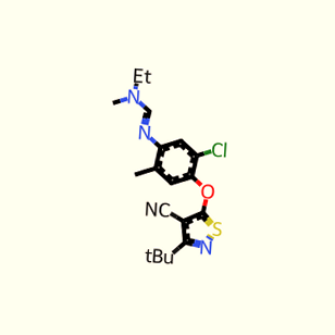 CCN(C)C=Nc1cc(Cl)c(Oc2snc(C(C)(C)C)c2C#N)cc1C